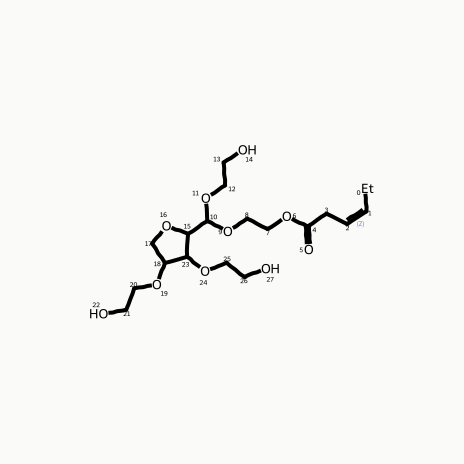 CC/C=C\CC(=O)OCCOC(OCCO)C1OCC(OCCO)C1OCCO